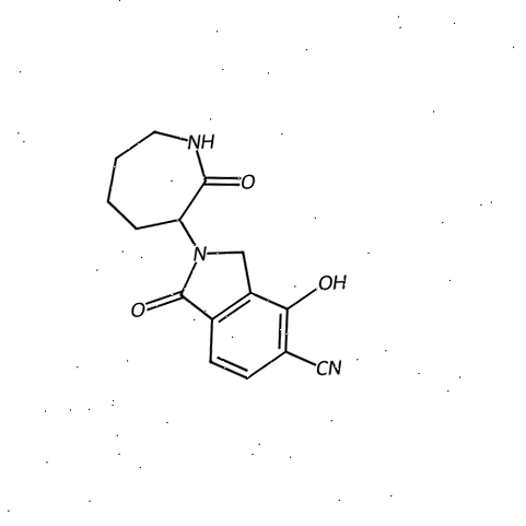 N#Cc1ccc2c(c1O)CN(C1CCCCNC1=O)C2=O